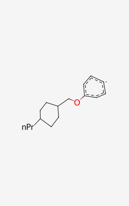 CCCC1CCC(COc2cc[c]cc2)CC1